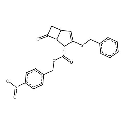 O=C(OCc1ccc([N+](=O)[O-])cc1)[C@H]1C(SCc2ccccc2)=CC2CC(=O)N21